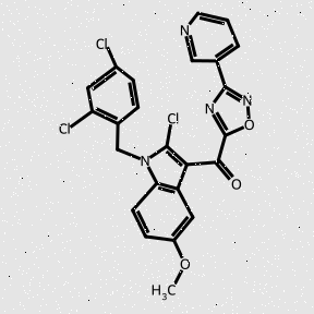 COc1ccc2c(c1)c(C(=O)c1nc(-c3cccnc3)no1)c(Cl)n2Cc1ccc(Cl)cc1Cl